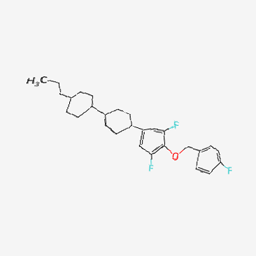 CCCC1CCC(C2CCC(c3cc(F)c(OCc4ccc(F)cc4)c(F)c3)CC2)CC1